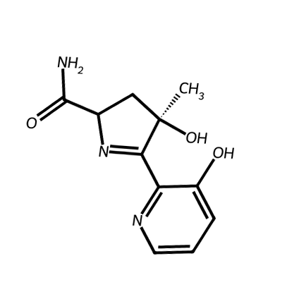 C[C@@]1(O)CC(C(N)=O)N=C1c1ncccc1O